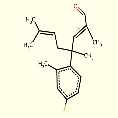 CC(C)=CCC(C)(/C=C(\C)C=O)c1ccc(F)cc1C